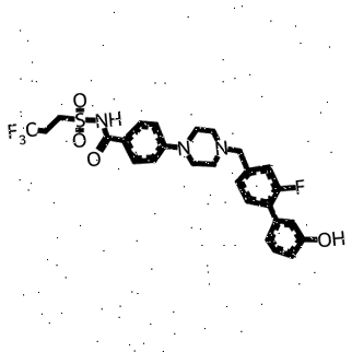 O=C(NS(=O)(=O)CCC(F)(F)F)c1ccc(N2CCN(Cc3ccc(-c4cccc(O)c4)c(F)c3)CC2)cc1